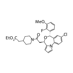 CCOC(=O)CC1CCN(C(=O)C[C@H]2O[C@H](c3cccc(OC)c3F)c3cc(Cl)ccc3-n3cccc32)CC1